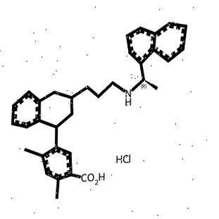 Cc1cc(C)c(C2CC(CCCN[C@H](C)c3cccc4ccccc34)Cc3ccccc32)cc1C(=O)O.Cl